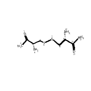 CC(=O)[C@@H](N)CSSC[C@H](N)C(N)=O